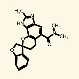 Cc1nc2cc(C(=O)N(C)C)c3c(c2[nH]1)OC1(CC3)COc2ccccc21